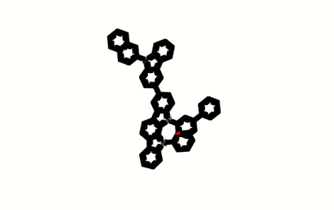 c1ccc(-c2cccc(-n3c4ccc(-c5ccc6c(c5)c5ccccc5n6-c5ccc6ccccc6c5)cc4c4ccc5c6ccccc6n(-c6ccccc6)c5c43)c2)cc1